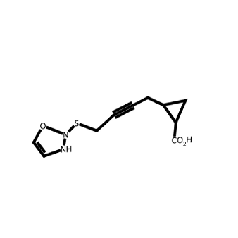 O=C(O)C1CC1CC#CCSN1NC=CO1